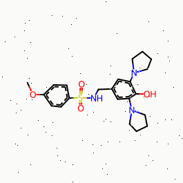 COc1ccc(S(=O)(=O)NCc2cc(N3CCCC3)c(O)c(N3CCCC3)c2)cc1